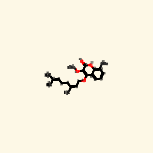 CCCCCCCCCCOc1c(OCC=C(C)CCC=C(C)C)c2cccc(OC)c2oc1=O